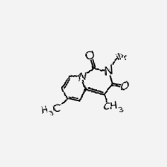 Cc1ccn2c(=O)n(C(C)C)c(=O)c(C)c2c1